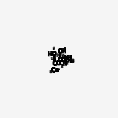 N.O=C(O)O.O=C(O)O.[Co]